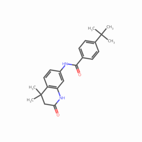 CC(C)(C)c1ccc(C(=O)Nc2ccc3c(c2)NC(=O)CC3(C)C)cc1